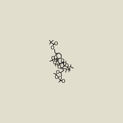 CC(=O)OCC(C[C@H]1O[C@@H]2[C@@H](OC3CC[C@H](CCOC(=O)C(C)(C)C)O[C@@H]3[C@H]2OC(C)=O)[C@H]1O[Si](F)(C(C)C)C(C)C)OC(C)=O